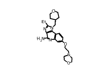 CCc1nc2c(N)nc3cc(OCCN4CCOCC4)ccc3c2n1CC1CCOCC1